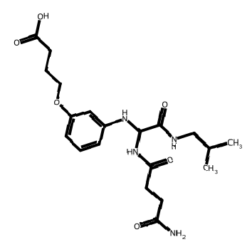 CC(C)CNC(=O)C(NC(=O)CCC(N)=O)Nc1cccc(OCCCC(=O)O)c1